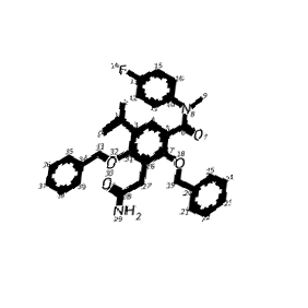 C=C(C)c1cc(C(=O)N(C)c2ccc(F)cc2)c(OCc2ccccc2)c(CC(N)=O)c1OCc1ccccc1